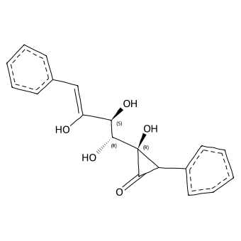 O=C1C(c2ccccc2)[C@@]1(O)[C@H](O)[C@H](O)C(O)=Cc1ccccc1